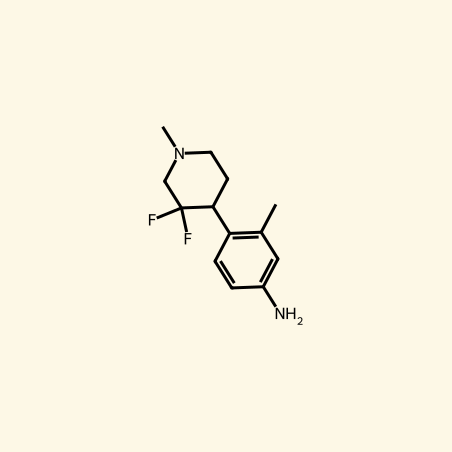 Cc1cc(N)ccc1C1CCN(C)CC1(F)F